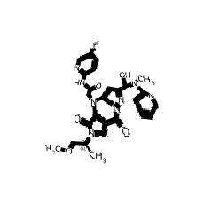 COC[C@H](C)N1Cc2c(n(CC(=O)Nc3ccc(F)cn3)c3cc(C(O)N(C)c4ccccn4)nn3c2=O)C1=O